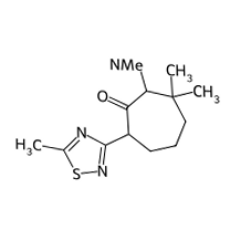 CNC1C(=O)C(c2nsc(C)n2)CCCC1(C)C